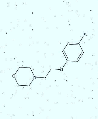 Fc1ccc(OCCN2CCOCC2)cc1